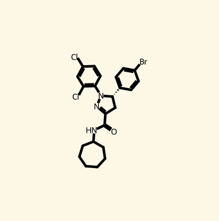 O=C(NC1CCCCCC1)C1=NN(c2ccc(Cl)cc2Cl)[C@H](c2ccc(Br)cc2)C1